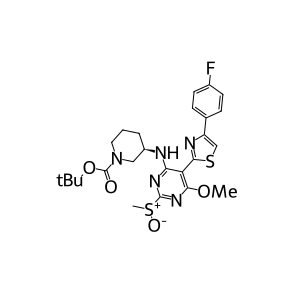 COc1nc([S+](C)[O-])nc(N[C@@H]2CCCN(C(=O)OC(C)(C)C)C2)c1-c1nc(-c2ccc(F)cc2)cs1